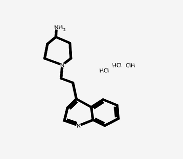 Cl.Cl.Cl.NC1CCN(CCc2ccnc3ccccc23)CC1